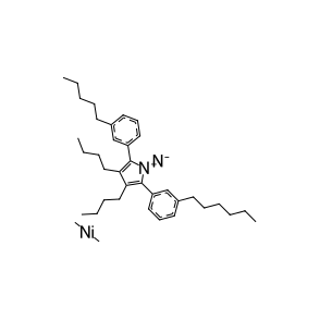 CCCCCCc1cccc(C2=C(CCCC)C(CCCC)=C(c3cccc(CCCCC)c3)[N+]2=[N-])c1.[CH3][Ni][CH3]